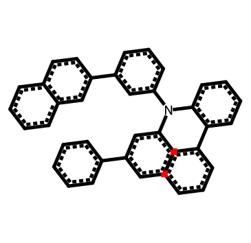 c1ccc(-c2cccc(N(c3cccc(-c4ccc5ccccc5c4)c3)c3ccccc3-c3ccccc3)c2)cc1